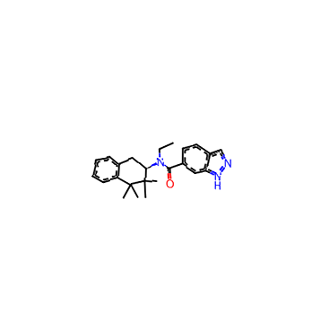 CCN(C(=O)c1ccc2cn[nH]c2c1)[C@@H]1Cc2ccccc2C(C)(C)C1(C)C